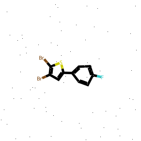 Fc1ccc(-c2cc(Br)c(Br)s2)cc1